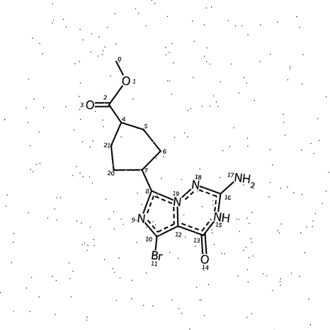 COC(=O)C1CCC(c2nc(Br)c3c(=O)[nH]c(N)nn23)CC1